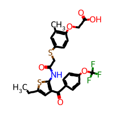 CCc1cc(C(=O)c2ccc(OC(F)(F)F)cc2)c(NC(=O)CSc2ccc(OCC(=O)O)c(C)c2)s1